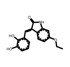 CCOc1ccc2c(c1)NC(=O)/C2=C/c1cccc(O)c1O